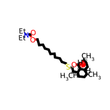 CCN(CC)C(=O)OCCCCCCCCCCCS[C@@H]1O[C@@H]2O[C@@]3(C)CC[C@H]4[C@H](C)CC[C@@H]([C@H]1C)[C@@]24OO3